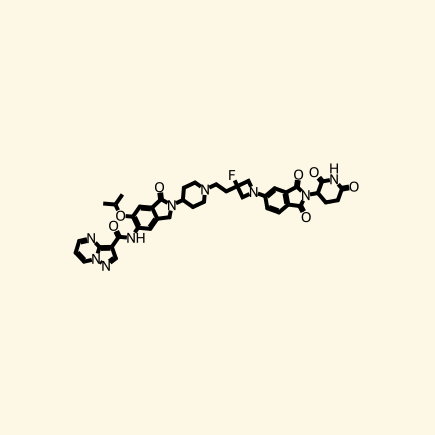 CC(C)Oc1cc2c(cc1NC(=O)c1cnn3cccnc13)CN(C1CCN(CCC3(F)CN(c4ccc5c(c4)C(=O)N(C4CCC(=O)NC4=O)C5=O)C3)CC1)C2=O